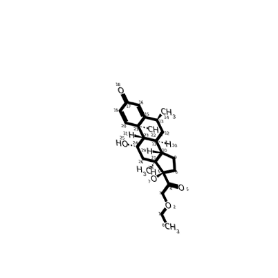 CCOCC(=O)[C@@]1(O)CC[C@H]2[C@@H]3C[C@H](C)C4=CC(=O)C=C[C@]4(C)[C@H]3[C@@H](O)C[C@@]21C